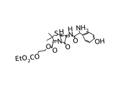 CCOC(=O)OCCOC(=O)[C@@H]1N2C(=O)[C@@H](NC(=O)C(N)c3ccc(O)cc3)[C@H]2SC1(C)C